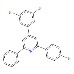 Brc1ccc(-c2cc(-c3cc(Br)cc(Br)c3)cc(-c3ccccc3)n2)cc1